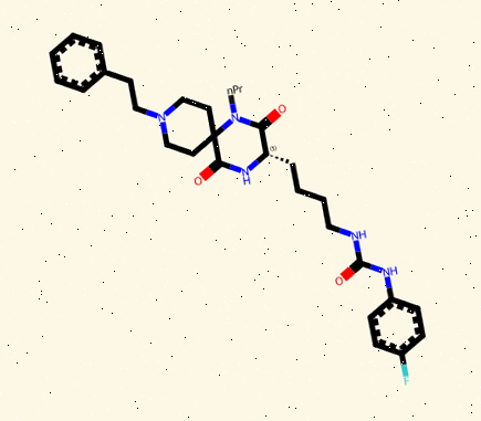 CCCN1C(=O)[C@H](CCCCNC(=O)Nc2ccc(F)cc2)NC(=O)C12CCN(CCc1ccccc1)CC2